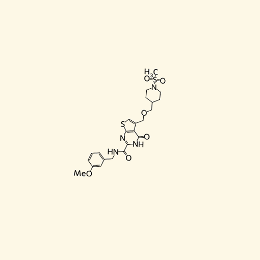 COc1cccc(CNC(=O)c2nc3scc(COCC4CCN(S(C)(=O)=O)CC4)c3c(=O)[nH]2)c1